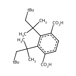 CC(C)(C)CC(C)(C)c1c(C(=O)O)ccc(C(=O)O)c1C(C)(C)CC(C)(C)C